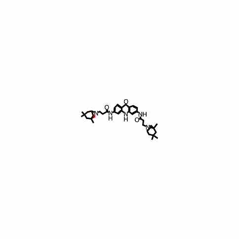 CC1(C)CC2CC(C)(CN2CCC(=O)Nc2ccc3c(=O)c4ccc(NC(=O)CCN5CC6(C)CC5CC(C)(C)C6)cc4[nH]c3c2)C1